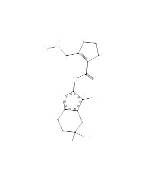 CC1(C)CCc2sc(NC(=O)C3=C(CNN)CCC3)c(C(=O)O)c2C1